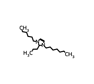 CCCCCCCN1C=CN(CCCCCC)C1CCC